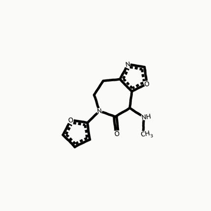 CNC1C(=O)N(c2ccco2)CCc2ncoc21